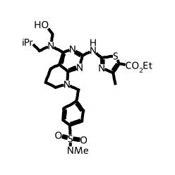 CCOC(=O)c1sc(Nc2nc3c(c(N(CO)CC(C)C)n2)CCCN3Cc2ccc(S(=O)(=O)NC)cc2)nc1C